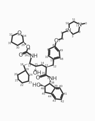 CN1CCN(CCOc2ccc(C[C@H](C[C@H](O)[C@H](CC3CCCCC3)NC(=O)O[C@H]3CCCOC3)C(=O)N[C@H]3c4ccccc4C[C@H]3O)cc2)CC1